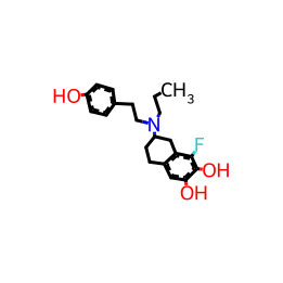 CCCN(CCc1ccc(O)cc1)C1CCc2cc(O)c(O)c(F)c2C1